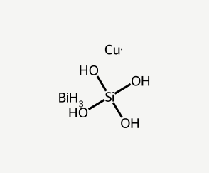 O[Si](O)(O)O.[BiH3].[Cu]